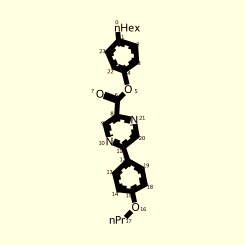 CCCCCCc1ccc(OC(=O)c2cnc(-c3ccc(OCCC)cc3)cn2)cc1